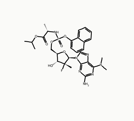 CC(C)OC(=O)[C@H](C)NP(=O)(OC[C@H]1O[C@@H](n2cnc3c(N(C)C)nc(N)nc32)[C@](C)(F)[C@@H]1O)Oc1cccc2ccccc12